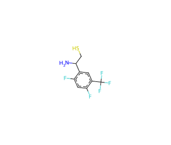 NC(CS)c1cc(C(F)(F)F)c(F)cc1F